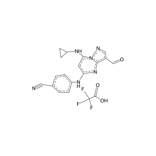 N#Cc1ccc(Nc2cc(NC3CC3)n3ncc(C=O)c3n2)cc1.O=C(O)C(F)(F)F